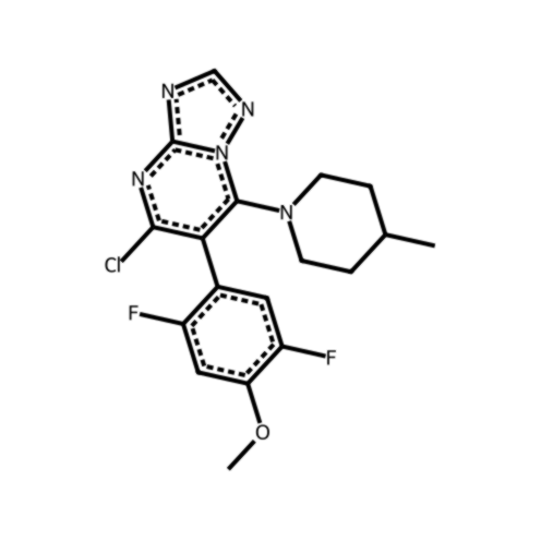 COc1cc(F)c(-c2c(Cl)nc3ncnn3c2N2CCC(C)CC2)cc1F